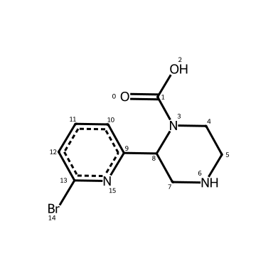 O=C(O)N1CCNCC1c1cccc(Br)n1